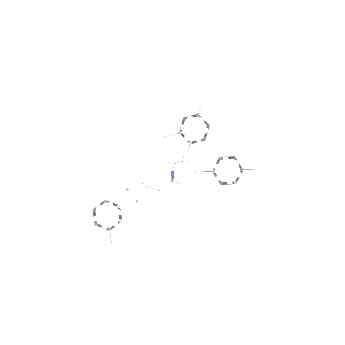 O=S(=O)(NCC1=NN(c2ccc(Cl)cc2Cl)C(c2ccc(Cl)cc2)C1)c1ccc(F)c(F)c1